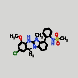 COc1cc(Cl)cc(C)c1Nc1nc2cccc(-c3ccccc3NS(C)(=O)=O)c2n1C